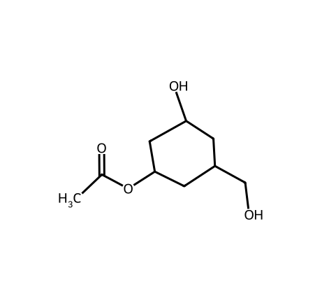 CC(=O)OC1CC(O)CC(CO)C1